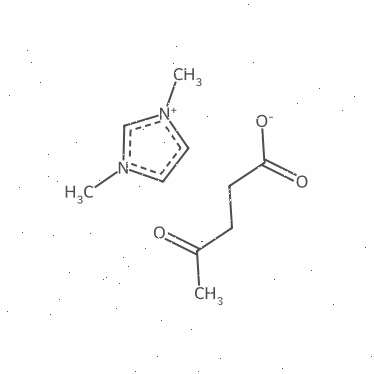 CC(=O)CCC(=O)[O-].Cn1cc[n+](C)c1